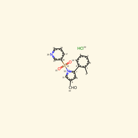 Cc1ccccc1-c1cc(C=O)cn1S(=O)(=O)c1cccnc1.Cl